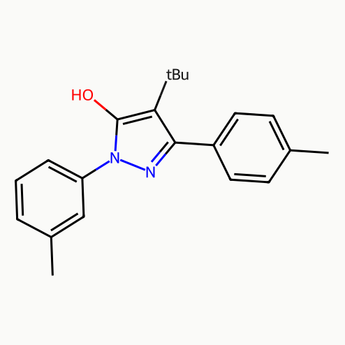 Cc1ccc(-c2nn(-c3cccc(C)c3)c(O)c2C(C)(C)C)cc1